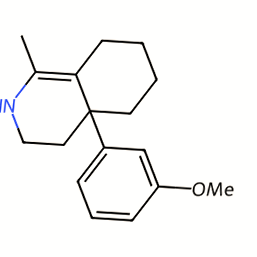 COc1cccc(C23CCCCC2=C(C)NCC3)c1